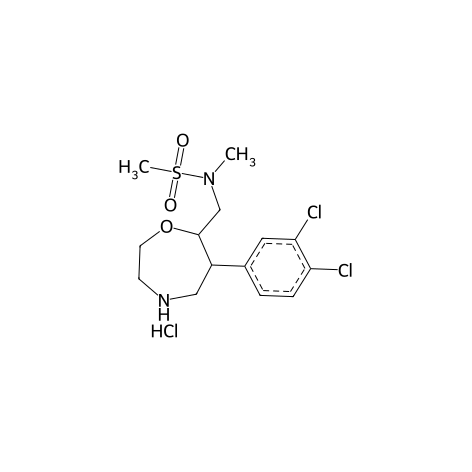 CN(CC1OCCNCC1c1ccc(Cl)c(Cl)c1)S(C)(=O)=O.Cl